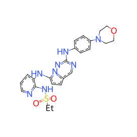 CCS(=O)(=O)Nc1ncccc1Nc1ccc2cnc(Nc3ccc(N4CCOCC4)cc3)nn12